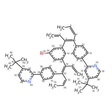 C=C/C(=C(\C=C/C)c1ccc(-c2cc(C(C)(C)C)ccn2)cc1)c1cc(Br)cc(/C(C=C)=C(/C=C\C)c2ccc(-c3cc(C(C)(C)C)ccn3)cc2)c1